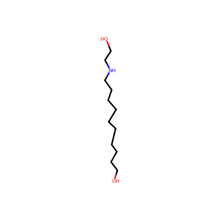 OCCCCCCCCCCNCCO